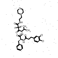 CC(C)[C@H](NC(=O)[C@H](Cc1ccccc1)NC(=O)CCc1ccc(Cl)c(Cl)c1)C(=O)C(F)(F)C(=O)NCCN1CCOCC1